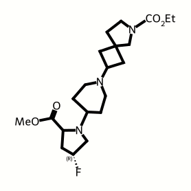 CCOC(=O)N1CCC2(CC(N3CCC(N4C[C@H](F)CC4C(=O)OC)CC3)C2)C1